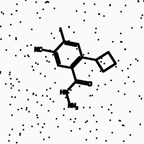 Cc1cc(C2CCC2)c(C(=O)NN)cc1C#N